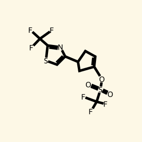 O=S(=O)(OC1=CCC(c2csc(C(F)(F)F)n2)C1)C(F)(F)F